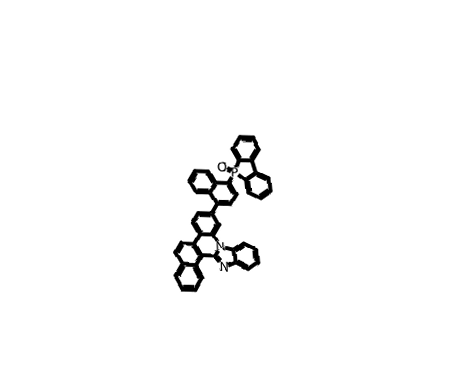 O=P1(c2ccc(-c3ccc4c5ccc6ccccc6c5c5nc6ccccc6n5c4c3)c3ccccc23)c2ccccc2-c2ccccc21